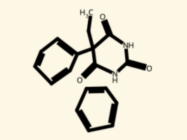 CCC1(c2ccccc2)C(=O)NC(=O)NC1=O.c1ccccc1